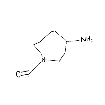 NC1CCN([C]=O)C1